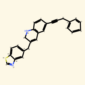 C(#Cc1ccc2c(c1)C=C(Cc1ccc3scnc3c1)CN2)Cc1ccccc1